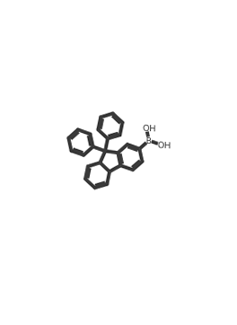 OB(O)c1ccc2c(c1)C(c1ccccc1)(c1ccccc1)C1C=CC=CC21